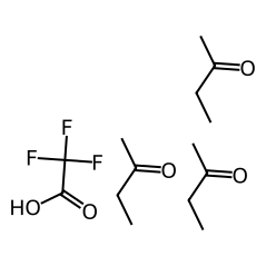 CCC(C)=O.CCC(C)=O.CCC(C)=O.O=C(O)C(F)(F)F